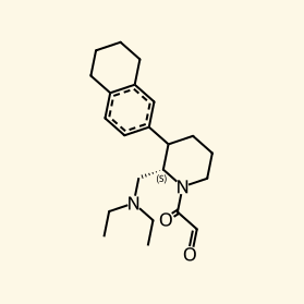 CCN(CC)C[C@@H]1C(c2ccc3c(c2)CCCC3)CCCN1C(=O)C=O